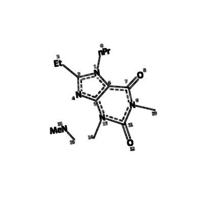 CCCn1c(CC)nc2c1c(=O)n(C)c(=O)n2C.CNC